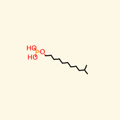 CC(C)CCCCCCCCCOP(O)O